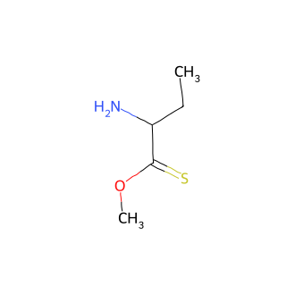 CCC(N)C(=S)OC